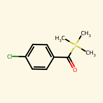 CS(C)(C)C(=O)c1ccc(Cl)cc1